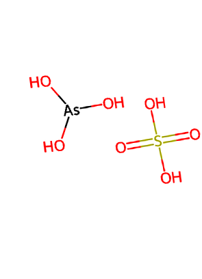 O=S(=O)(O)O.O[As](O)O